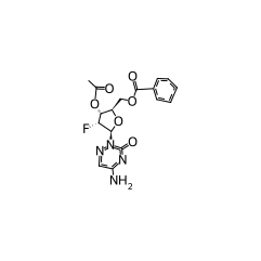 CC(=O)O[C@H]1[C@@H](F)[C@H](n2ncc(N)nc2=O)O[C@@H]1COC(=O)c1ccccc1